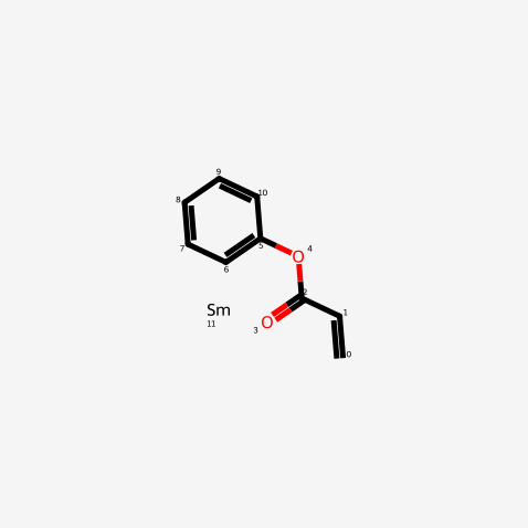 C=CC(=O)Oc1ccccc1.[Sm]